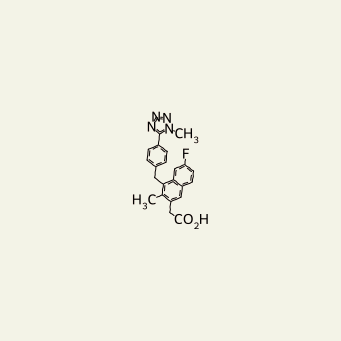 Cc1c(CC(=O)O)cc2ccc(F)cc2c1Cc1ccc(-c2nnnn2C)cc1